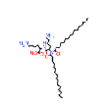 CCCCCCCCCCCCCCCC(=O)N(C(=O)CCCCCCCCCCCCCCC)C(CCCCN)C(=O)NC(CCCCN)C(=O)O